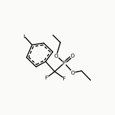 CCOP(=O)(OCC)C(F)(F)c1ccc(I)cc1